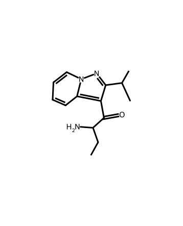 CCC(N)C(=O)c1c(C(C)C)nn2ccccc12